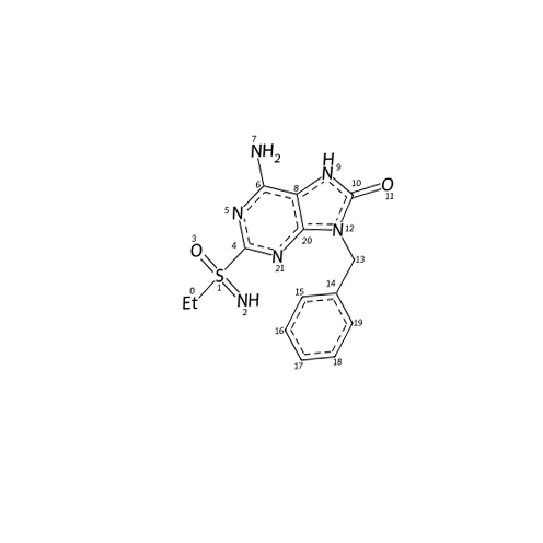 CCS(=N)(=O)c1nc(N)c2[nH]c(=O)n(Cc3ccccc3)c2n1